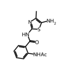 CC(=O)Nc1ccccc1C(=O)Nc1nc(C)c(N)s1